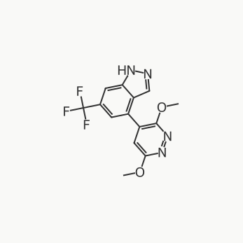 COc1cc(-c2cc(C(F)(F)F)cc3[nH]ncc23)c(OC)nn1